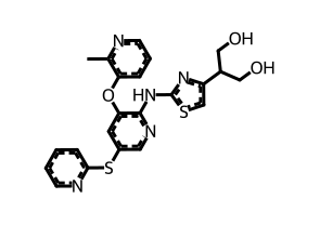 Cc1ncccc1Oc1cc(Sc2ccccn2)cnc1Nc1nc(C(CO)CO)cs1